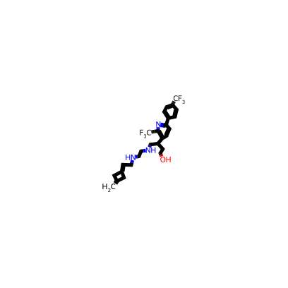 C=C1CC(=CCNCCNCC(CCO)c2ccc(-c3ccc(C(F)(F)F)cc3)nc2C(F)(F)F)C1